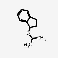 CC(C)OC1CCc2ccccc21